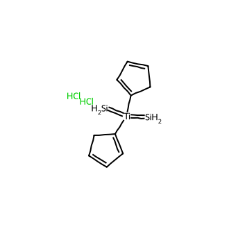 Cl.Cl.[SiH2]=[Ti](=[SiH2])([C]1=CC=CC1)[C]1=CC=CC1